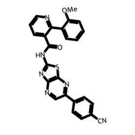 COc1ccccc1-c1ncccc1C(=O)Nc1nc2ncc(-c3ccc(C#N)cc3)nc2s1